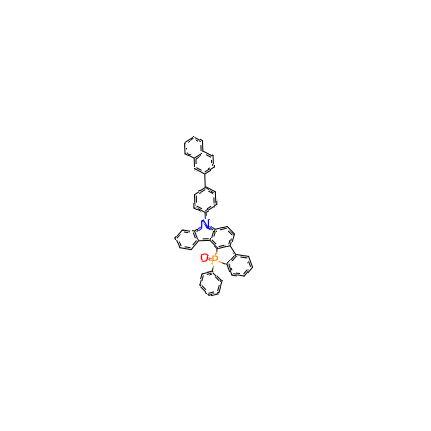 O=P1(c2ccccc2)c2ccccc2-c2ccc3c(c21)c1ccccc1n3-c1ccc(-c2ccc3ccccc3c2)cc1